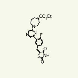 CCOC(=O)N1CCCN(c2cncc(-c3cc(/C=C4/SC(=O)NC4=O)ccc3F)n2)CC1